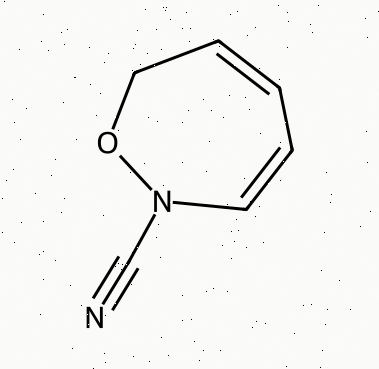 N#CN1C=CC=CCO1